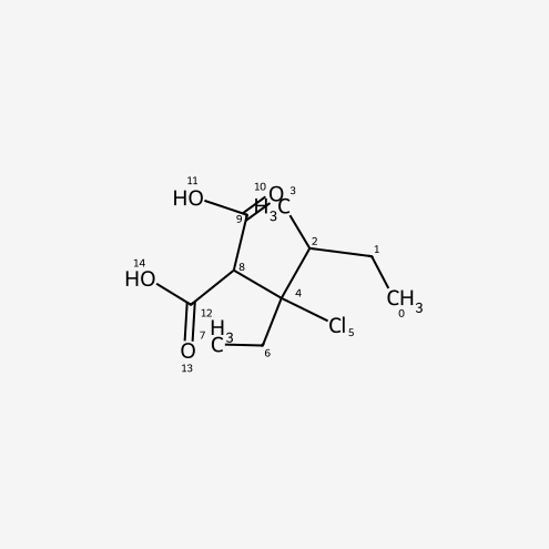 CCC(C)C(Cl)(CC)C(C(=O)O)C(=O)O